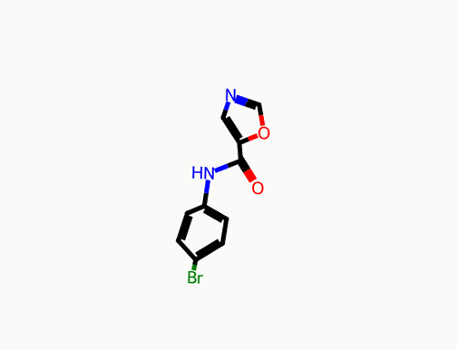 O=C(Nc1ccc(Br)cc1)c1cnco1